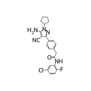 N#Cc1c(-c2ccc(CC(=O)Nc3cc(Cl)ccc3F)cc2)nn(C2CCCC2)c1N